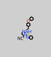 N#CCC1C=CN=C(NCCc2ccc(Oc3ccccc3)cc2)N1c1nc2ccccc2s1